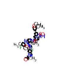 Cc1cc(-n2nc3c(c2-n2ccn(-c4ccc5c(cnn5CC5(C)COC5)c4F)c2=O)[C@H](C)N(C(=O)c2cc4cc([C@H]5CCOC(C)(C)C5)ccc4n2[C@@]2(c4noc(=O)[nH]4)C[C@@H]2C)CC3)cc(C)c1F